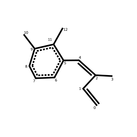 C=C/C(C)=C\c1cccc(C)c1C